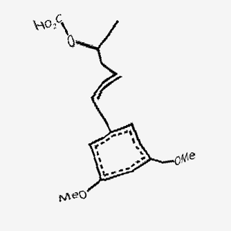 COc1cc(C=CC(C)OC(=O)O)cc(OC)c1